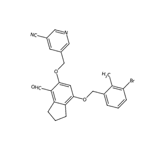 Cc1c(Br)cccc1COc1cc(OCc2cncc(C#N)c2)c(C=O)c2c1CCC2